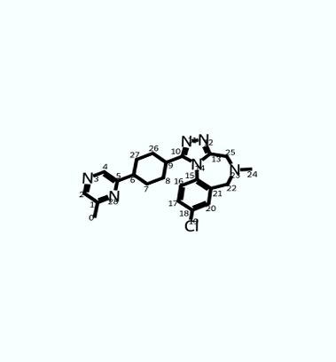 Cc1cncc(C2CCC(c3nnc4n3-c3ccc(Cl)cc3CN(C)C4)CC2)n1